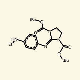 CCNc1ccc(N=C2N(C(=O)OC(C)(C)C)CCN2C(=O)OC(C)(C)C)cc1